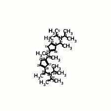 CC(C)N(C(C)C)C(C)C1=CCC([Si](C)(C)C2=CC(C(C)N(C(C)C)C(C)C)=CC2)=C1